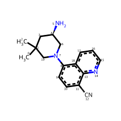 CC1(C)C[C@@H](N)CN(c2ccc(C#N)c3ncccc23)C1